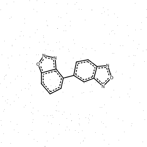 [c]1c(-c2cccc3onnc23)ccc2nonc12